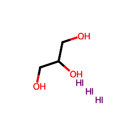 I.I.I.OCC(O)CO